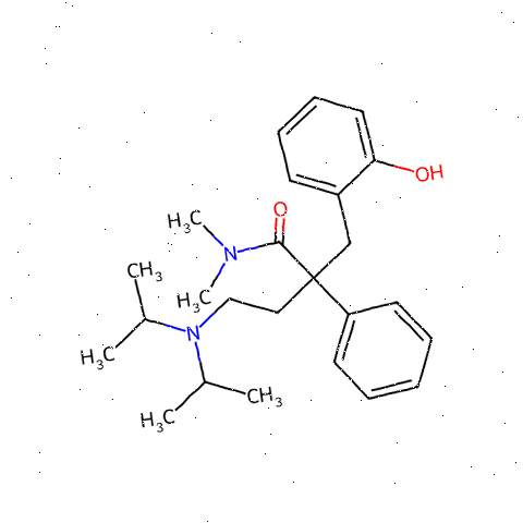 CC(C)N(CCC(Cc1ccccc1O)(C(=O)N(C)C)c1ccccc1)C(C)C